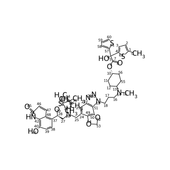 Cc1ccc([C@@](O)(C(=O)O[C@H]2CC[C@H](N(C)CCCn3nnc4cc(CNC[C@H](O[Si](C)(C)C(C)(C)C)c5ccc(O)c6[nH]c(=O)ccc56)c5c(c43)OCO5)CC2)c2cccs2)s1